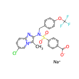 Cc1c(N(Cc2ccc(OC(F)(F)F)cc2)S(=O)(=O)c2ccc(C(=O)[O-])cc2)nc2ccc(Cl)cn12.[Na+]